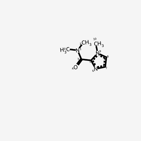 CN(C)C(=O)c1nccn1C